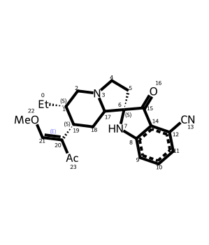 CC[C@@H]1CN2CC[C@]3(Nc4cccc(C#N)c4C3=O)C2C[C@@H]1/C(=C\OC)C(C)=O